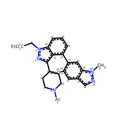 CCOC(=O)Cn1nc(C2CCN(C(C)=O)CC2)c2c(-c3cc4c(cnn4C)cc3OC)cccc21